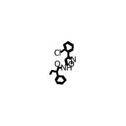 CCC(C(=O)Nc1cc(-c2ccccc2Cl)no1)c1ccccc1